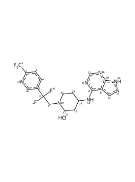 Cl.FC(F)(F)c1ccc(C(F)(F)CN2CCC(Nc3ncnc4[nH]ncc34)CC2)cn1